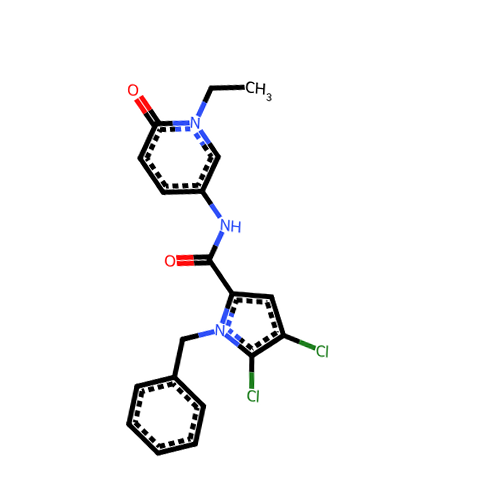 CCn1cc(NC(=O)c2cc(Cl)c(Cl)n2Cc2ccccc2)ccc1=O